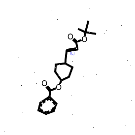 CC(C)(C)OC(=O)/C=C/C1CCC(OC(=O)c2ccccc2)CC1